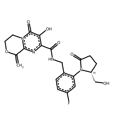 C=C1OCCn2c1nc(C(=O)NCc1ccc(F)cc1N1C(=O)CC[C@@H]1CO)c(O)c2=O